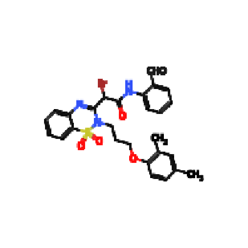 Cc1ccc(OCCCN2C(C(Br)C(=O)Nc3ccccc3C=O)=Nc3ccccc3S2(=O)=O)c(C)c1